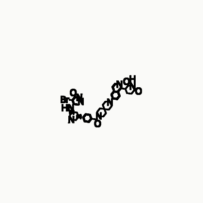 CN1C[C@H](Nc2cnn(C)c(=O)c2Br)C[C@H](c2ccc(C(=O)N3CCC4(CC3)CCN(c3ccc5c(C6CCC(=O)NC6=O)nccc5c3)CC4)cc2)C1